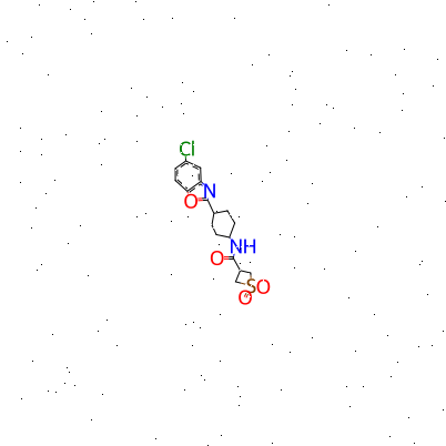 O=C(NC1CCC(c2nc3cc(Cl)ccc3o2)CC1)C1CS(=O)(=O)C1